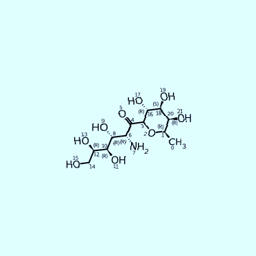 C[C@H]1OC(C(=O)[C@H](N)[C@@H](O)[C@@H](O)[C@H](O)CO)[C@H](O)[C@@H](O)[C@H]1O